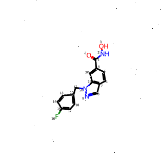 O=C(NO)c1ccc2cnn(Cc3ccc(F)cc3)c2c1